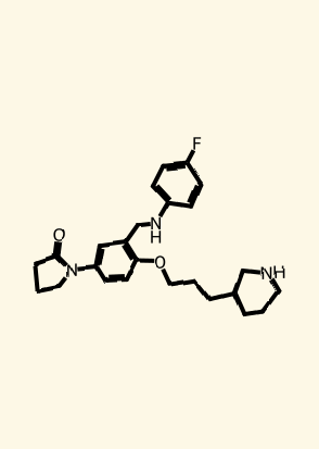 O=C1CCCN1c1ccc(OCCCC2CCCNC2)c(CNc2ccc(F)cc2)c1